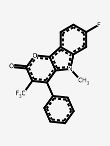 Cn1c2cc(F)ccc2c2oc(=O)c(C(F)(F)F)c(-c3ccccc3)c21